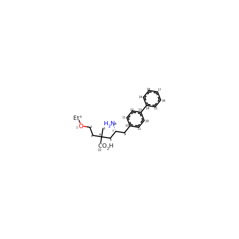 CCOCCC(C)(C[C@H](N)Cc1ccc(-c2ccccc2)cc1)C(=O)O